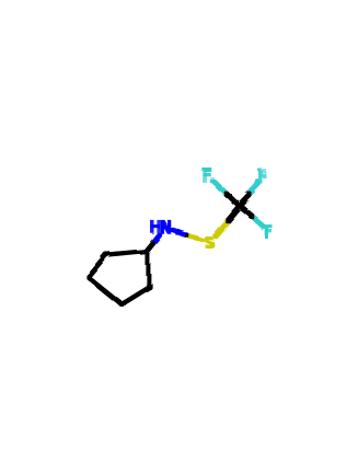 FC(F)(F)SNC1CCCC1